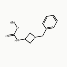 CC(C)(C)OC(=O)NC1CN(Cc2ccccc2)C1